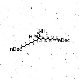 CCCCCCCCCCCCCCCCCCC(N)(CCN)CCCCCCCCCCCCCCCCCC